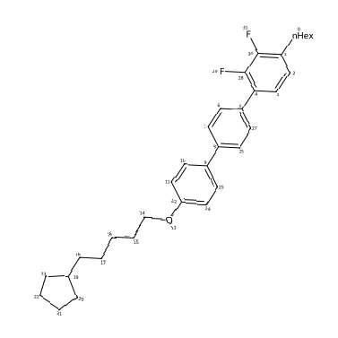 CCCCCCc1ccc(-c2ccc(-c3ccc(OCCCCCC4CCCC4)cc3)cc2)c(F)c1F